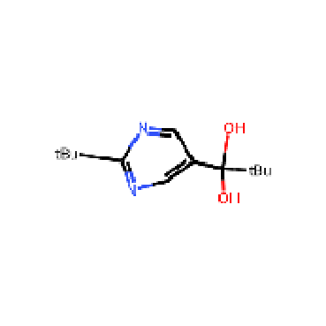 CC(C)(C)c1ncc(C(O)(O)C(C)(C)C)cn1